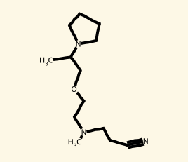 CC(COCCN(C)CCC#N)N1CCCC1